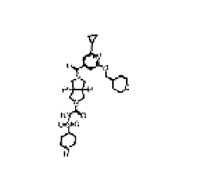 O=C(NS(=O)(=O)C1CCNCC1)N1C[C@H]2CN(C(=O)c3cc(OCC4CCOCC4)nc(C4CC4)c3)C[C@@H]2C1